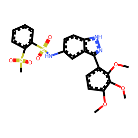 COc1ccc(-c2n[nH]c3ccc(NS(=O)(=O)c4ccccc4S(C)(=O)=O)cc23)c(OC)c1OC